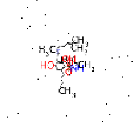 CCCCCc1cc(O)c(C/C=C(\C)CCC=C(C)C)c(O)c1S(=O)(=O)NC(C)C